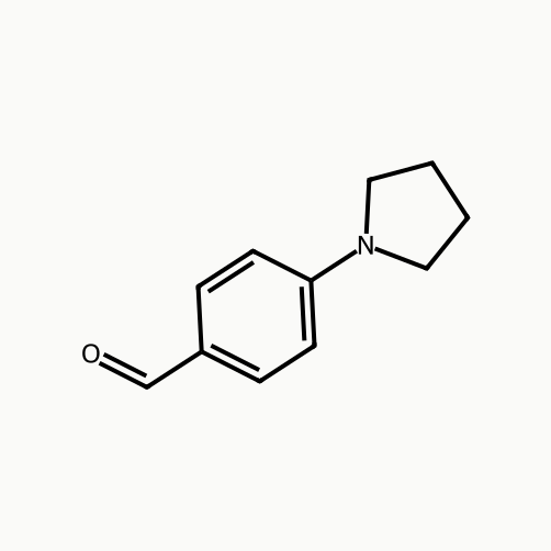 O=Cc1ccc(N2CCCC2)cc1